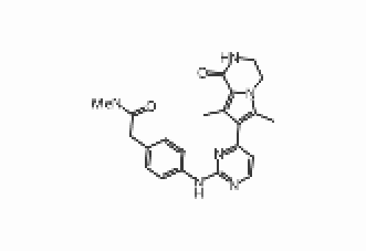 CNC(=O)Cc1ccc(Nc2nccc(-c3c(C)c4n(c3C)CCNC4=O)n2)cc1